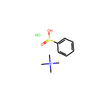 C[N+](C)(C)C.Cl.O=S(O)c1ccccc1